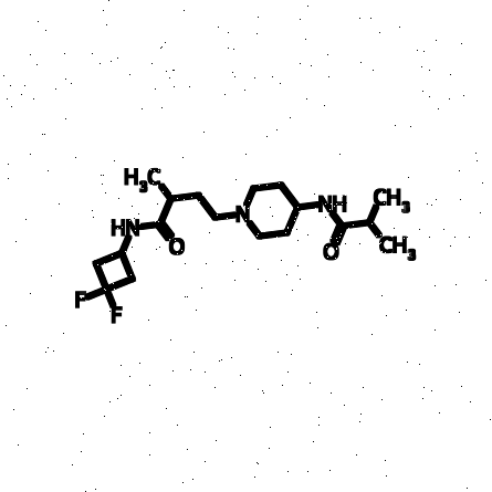 CC(C)C(=O)NC1CCN(CCC(C)C(=O)NC2CC(F)(F)C2)CC1